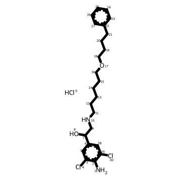 Cl.Nc1c(Cl)cc(C(O)CNCCCCCCOCCCCc2ccccc2)cc1Cl